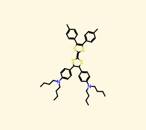 CCCCN(CCCC)c1ccc(C2SC(=C3SC(c4ccc(C)cc4)=C(c4ccc(C)cc4)S3)SC2c2ccc(N(CCCC)CCCC)cc2)cc1